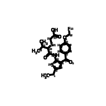 CCc1cc(C(=O)c2ccc(OCF)cc2)c(NC(=O)C(SCC(=O)O)C(C)C)s1